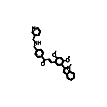 COc1cc(OC)c(-c2cc3ccccc3n2C)cc1/C=C/C(=O)c1ccc(CNCc2cccnc2)cc1